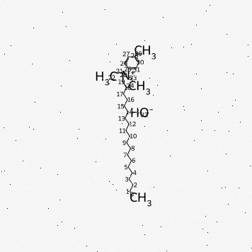 CCCCCCCCCCCCCCCCCCCC[N+](CC)(CC)c1ccc(C)cc1.[OH-]